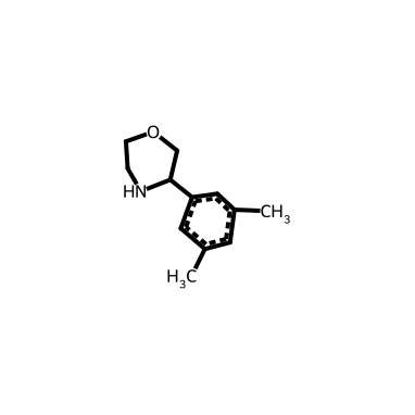 Cc1cc(C)cc(C2COCCN2)c1